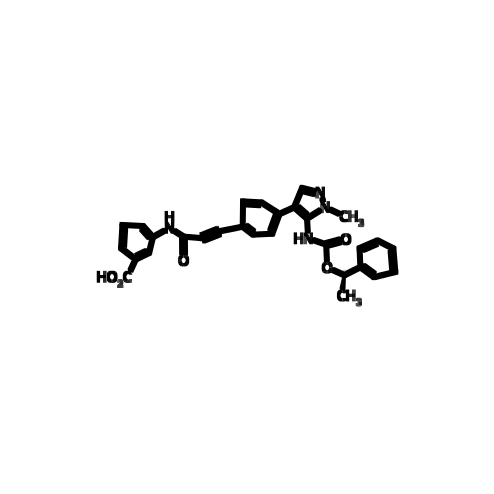 C[C@@H](OC(=O)Nc1c(-c2ccc(C#CC(=O)Nc3cccc(C(=O)O)c3)cc2)cnn1C)c1ccccc1